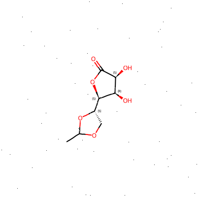 CC1OC[C@@H]([C@H]2OC(=O)[C@@H](O)[C@H]2O)O1